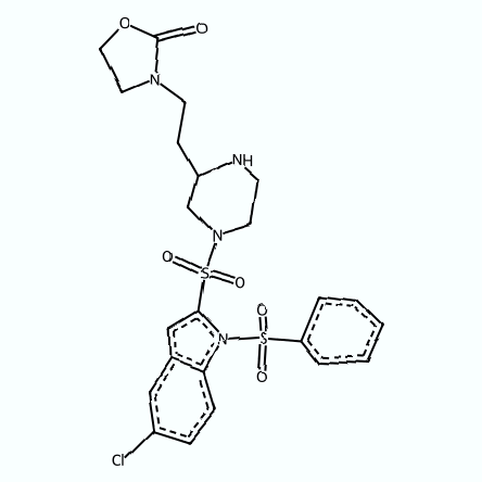 O=C1OCCN1CCC1CN(S(=O)(=O)c2cc3cc(Cl)ccc3n2S(=O)(=O)c2ccccc2)CCN1